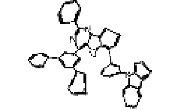 c1ccc(-c2cc(-c3ccccc3)cc(-c3nc(-c4ccccc4)nc4c3oc3c(-c5cccc(-n6c7ccccc7c7ccccc76)c5)cccc34)c2)cc1